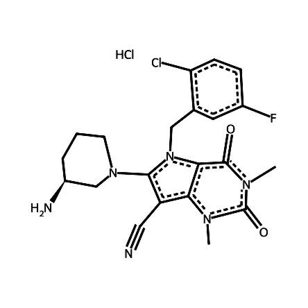 Cl.Cn1c(=O)c2c(c(C#N)c(N3CCC[C@H](N)C3)n2Cc2cc(F)ccc2Cl)n(C)c1=O